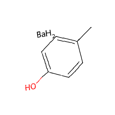 Cc1ccc(O)cc1.[BaH2]